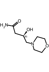 NC(=O)C[C@@H](O)CN1CCOCC1